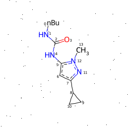 CCCCNC(=O)Nc1cc(C2CC2)nn1C